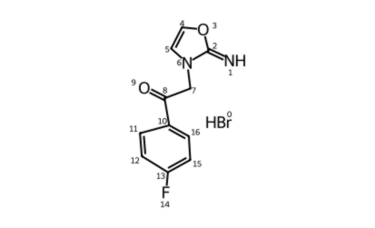 Br.N=c1occn1CC(=O)c1ccc(F)cc1